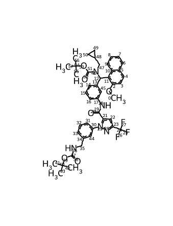 COc1ccc2ccccc2c1C(c1cccc(NC(=O)c2cc(C(F)(F)F)nn2-c2cccc(CNC(=O)OC(C)(C)C)c2)c1)N(CC1CC1)C(=O)OC(C)(C)C